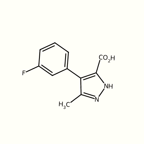 Cc1n[nH]c(C(=O)O)c1-c1cccc(F)c1